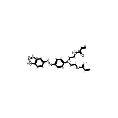 C=CC(=O)NCCN(CCNC(=O)C=C)c1ccc(N=Nc2ccc3[nH]nnc3c2)cc1